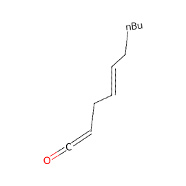 CCCCCC=CCC=C=O